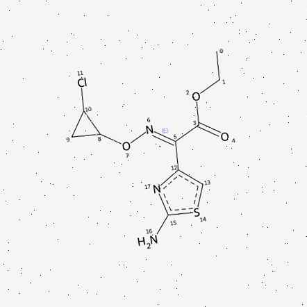 CCOC(=O)/C(=N/OC1CC1Cl)c1csc(N)n1